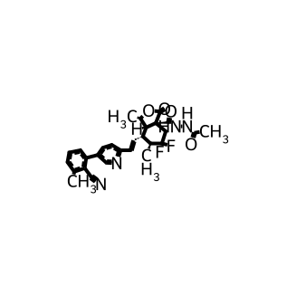 CC(=O)NNC(=O)[C@@]12CC(F)(F)[C@@H](C)[C@H](C=Cc3ccc(-c4cccc(C)c4C#N)cn3)[C@@H]1[C@@H](C)OC2=O